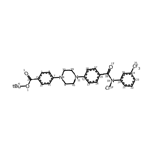 CC(C)(C)OC(=O)c1ccc(N2CCN(c3ccc(C(=O)N(Cl)c4cccc(C(F)(F)F)c4)cc3)CC2)cc1